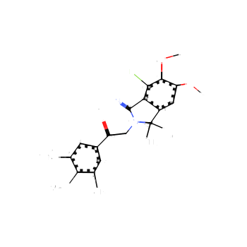 CCOc1cc2c(c(F)c1OCC)C(=N)N(CC(=O)c1cc(NC(C)=O)c(OC)c(C(C)(C)C)c1)C2(C)C